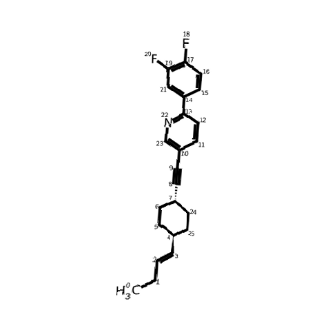 CCC=C[C@H]1CC[C@H](C#Cc2ccc(-c3ccc(F)c(F)c3)nc2)CC1